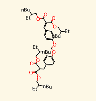 CCCCC(CC)COC(=O)C(=Cc1ccc(OCOc2ccc(CC(C(=O)OCC(CC)CCCC)C(=O)OCC(CC)CCCC)cc2)cc1)C(=O)OCC(CC)CCCC